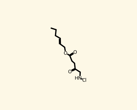 CCC/C=C/COC(=O)CCC(=O)CNCl